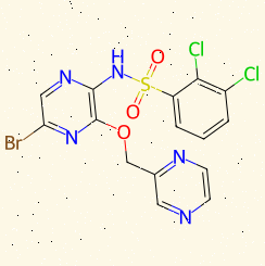 O=S(=O)(Nc1ncc(Br)nc1OCc1cnccn1)c1cccc(Cl)c1Cl